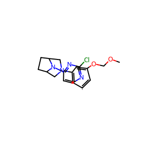 COCOc1c[c]cc(N2CC3CCC(C2)N3c2ccnc(Cl)n2)c1